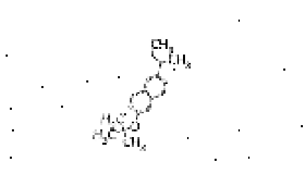 CCC(C)c1ccc2cc(OC(C)(C)C)ccc2c1